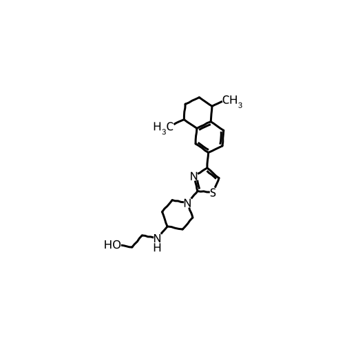 CC1CCC(C)c2cc(-c3csc(N4CCC(NCCO)CC4)n3)ccc21